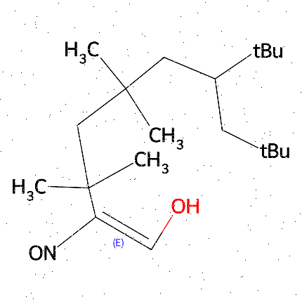 CC(C)(C)CC(CC(C)(C)CC(C)(C)/C(=C\O)N=O)C(C)(C)C